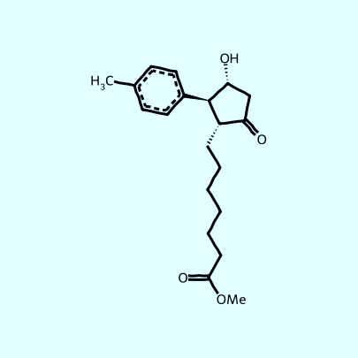 COC(=O)CCCCCC[C@H]1C(=O)C[C@@H](O)[C@@H]1c1ccc(C)cc1